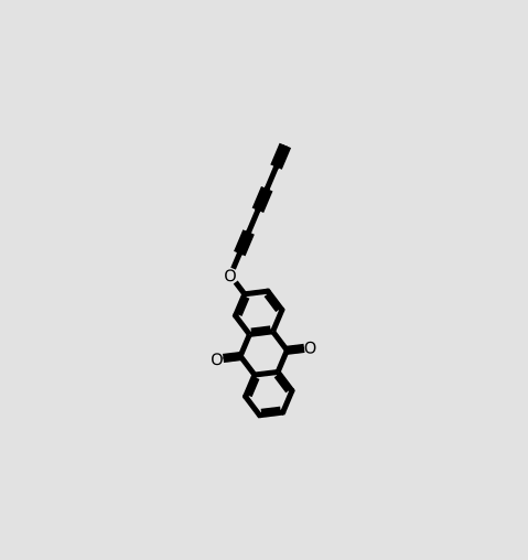 C#CC#CC#COc1ccc2c(c1)C(=O)c1ccccc1C2=O